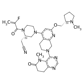 C=C(F)C(=O)N1CCN(c2cc(OC[C@@H]3CCCN3C)nc3c2CCN(c2ncnc4c2N(C)C(=O)CC4)C3)C[C@@H]1CC#N